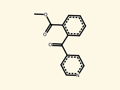 COC(=O)c1ccccc1C(=O)c1ccncc1